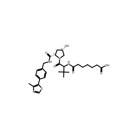 Cc1ncsc1-c1ccc(CNC(=O)[C@@H]2C[C@H](O)CN2C(=O)C(NC(=O)CCCCCC(=O)O)C(C)(C)C)cc1